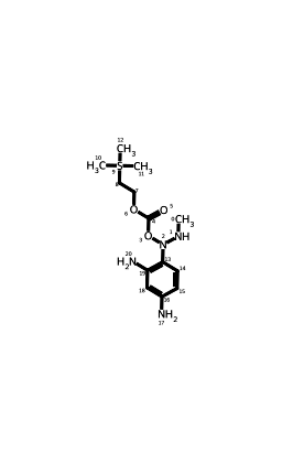 CNN(OC(=O)OCCS(C)(C)C)c1ccc(N)cc1N